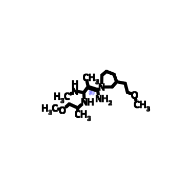 CNC(NC(C)COC)/C(C)=C(\N)N1CCCC(CCOC)C1